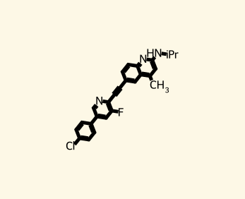 Cc1cc(NC(C)C)nc2ccc(C#Cc3ncc(-c4ccc(Cl)cc4)cc3F)cc12